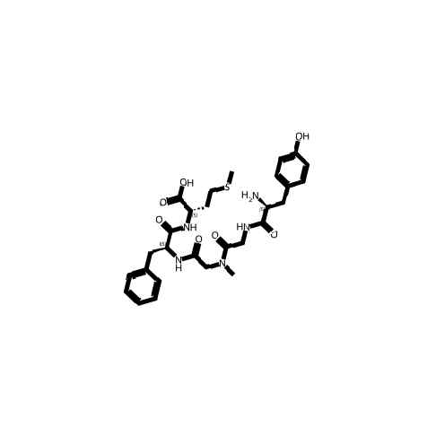 CSCC[C@H](NC(=O)[C@H](Cc1ccccc1)NC(=O)CN(C)C(=O)CNC(=O)[C@@H](N)Cc1ccc(O)cc1)C(=O)O